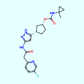 CC1(NC(=O)O[C@@H]2CC[C@H](c3cc(NC(=O)Cc4ccc(F)cn4)n[nH]3)C2)CC1